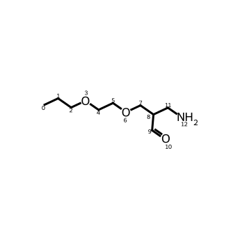 CCCOCCOCC(C=O)CN